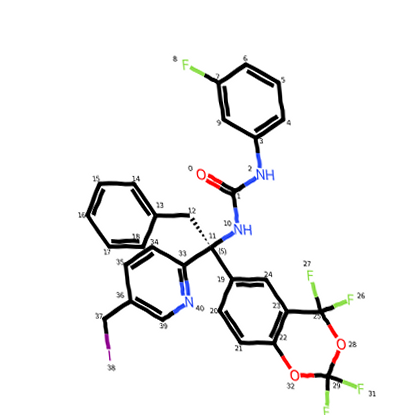 O=C(Nc1cccc(F)c1)N[C@@](Cc1ccccc1)(c1ccc2c(c1)C(F)(F)OC(F)(F)O2)c1ccc(CI)cn1